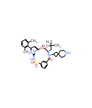 Cc1cccc(C)c1-c1cc2nc(n1)NS(=O)(=O)c1cccc(c1)C(=O)N(C1CC3(CCNCC3)C1)[C@H](CC(C)(C)C)CO2